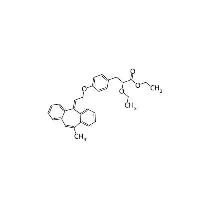 CCOC(=O)C(Cc1ccc(OCC=C2c3ccccc3C=C(C)c3ccccc32)cc1)OCC